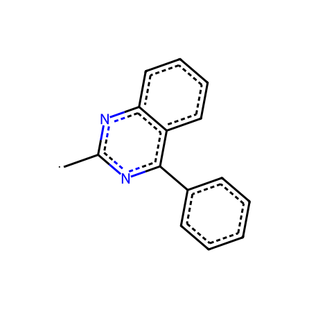 [CH2]c1nc(-c2ccccc2)c2ccccc2n1